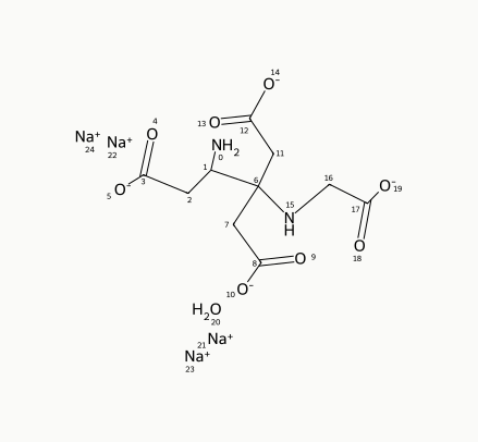 NC(CC(=O)[O-])C(CC(=O)[O-])(CC(=O)[O-])NCC(=O)[O-].O.[Na+].[Na+].[Na+].[Na+]